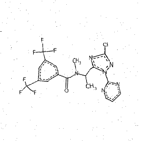 CC(c1nc(Cl)nn1-c1ncccn1)N(C)C(=O)c1cc(C(F)(F)F)cc(C(F)(F)F)c1